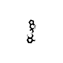 CC1(COCc2c(F)cccc2F)CC2CCCC2=NO1